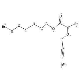 CCCC#CCOC(CC)C(=O)OCCCCCCBr